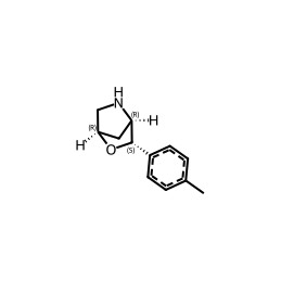 Cc1ccc([C@@H]2O[C@H]3CN[C@@H]2C3)cc1